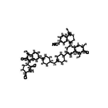 Cc1cc2c(N3CCN(C)c4ccc(C#N)cc43)cc(C3CCN(CC4CCN(c5ccc6c(c5)n(C5CCC(=O)NC5=O)c(=O)n6C)CC4)CC3)cc2n(C)c1=O